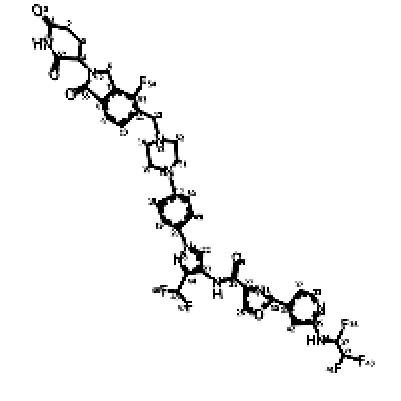 O=C1CCC(N2Cc3c(ccc(CN4CCN(c5ccc(-n6cc(NC(=O)c7coc(-c8ccnc(NC(F)C(F)F)c8)n7)c(C(F)F)n6)cc5)CC4)c3F)C2=O)C(=O)N1